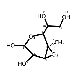 C[C@]12OC1C(O)C(O)OC2C(O)CO